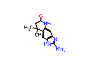 CC1(C)CC(=O)Nc2cc3nc(N)[nH]c3cc21